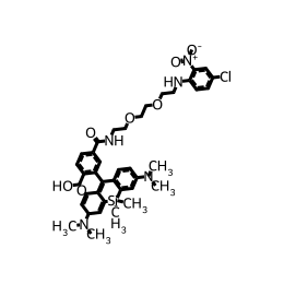 CN(C)c1ccc2c(c1)[Si](C)(C)C1=CC(N(C)C)C=CC1=C2c1cc(C(=O)NCCOCCOCCNc2ccc(Cl)cc2[N+](=O)[O-])ccc1C(=O)O